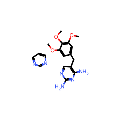 COc1cc(Cc2cnc(N)nc2N)cc(OC)c1OC.c1cncnc1